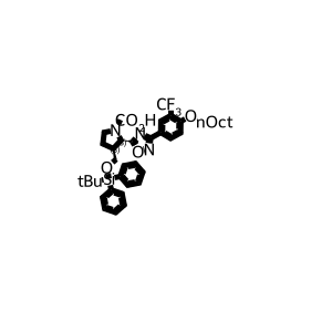 CCCCCCCCOc1ccc(-c2noc([C@@H]3[C@@H](CO[Si](c4ccccc4)(c4ccccc4)C(C)(C)C)CCN3C(=O)O)n2)cc1C(F)(F)F